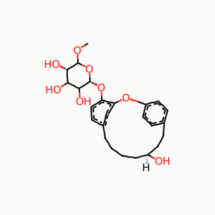 COC1O[C@@H](Oc2ccc3cc2Oc2ccc(cc2)CC[C@@H](O)CCCC3)C(O)C(O)[C@H]1O